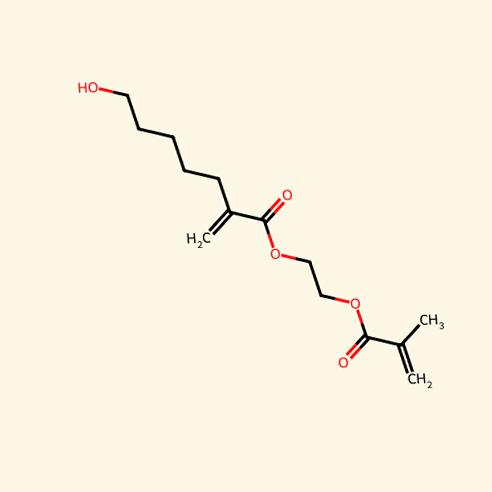 C=C(C)C(=O)OCCOC(=O)C(=C)CCCCCO